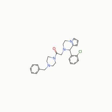 O=C(CN1CCn2cccc2C1c1ccccc1Cl)N1CCN(Cc2ccccc2)CC1